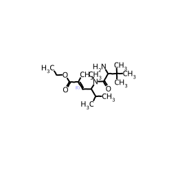 CCOC(=O)/C(C)=C/C(C(C)C)N(C)C(=O)C(N)C(C)(C)C